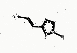 CCn1ccc(C=C[N+](=O)[O-])n1